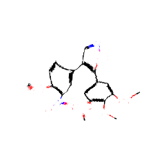 COc1ccc(-c2cnoc2-c2cc(OC)c(OC)c(OC)c2)cc1[N+](=O)[O-]